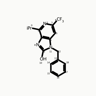 CC(C)c1nc(C(F)(F)F)cc2c1nc(O)n2Cc1ccccc1